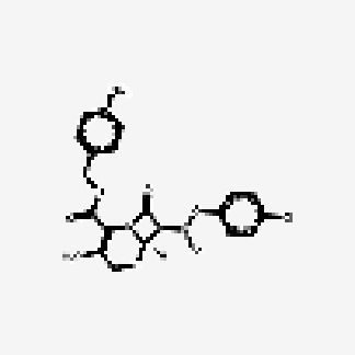 CC(=O)N(Oc1ccc(Cl)cc1)C1C(=O)N2C(C(=O)OCc3ccc([N+](=O)[O-])cc3)=C(C)CS[C@H]12